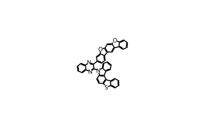 c1ccc2nc(-n3c4ccccc4c4c5c(ccc43)sc3ccccc35)c(-c3ccc4c(c3)oc3cc5oc6ccccc6c5cc34)nc2c1